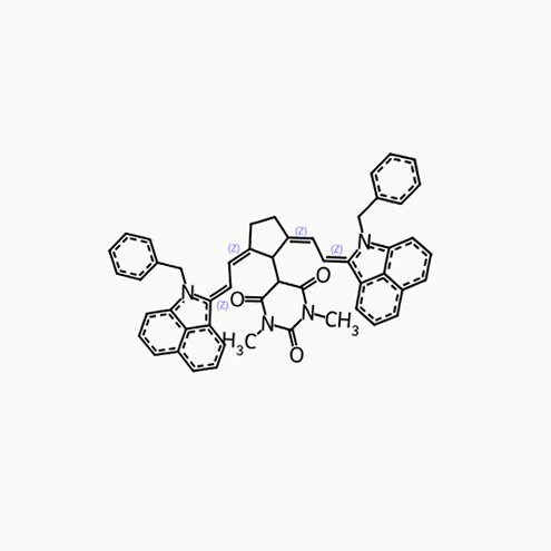 CN1C(=O)C(C2/C(=C\C=c3\c4cccc5cccc(c54)n3Cc3ccccc3)CC/C2=C/C=c2/c3cccc4cccc(c43)n2Cc2ccccc2)C(=O)N(C)C1=O